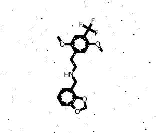 COc1cc(C(F)(F)F)c(OC)cc1CCNCc1cccc2c1OCO2